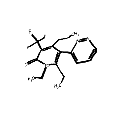 CCc1c(-c2cccnn2)c(CC)n(CC)c(=O)c1C(F)(F)F